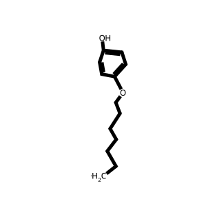 [CH2]CCCCCCOc1ccc(O)cc1